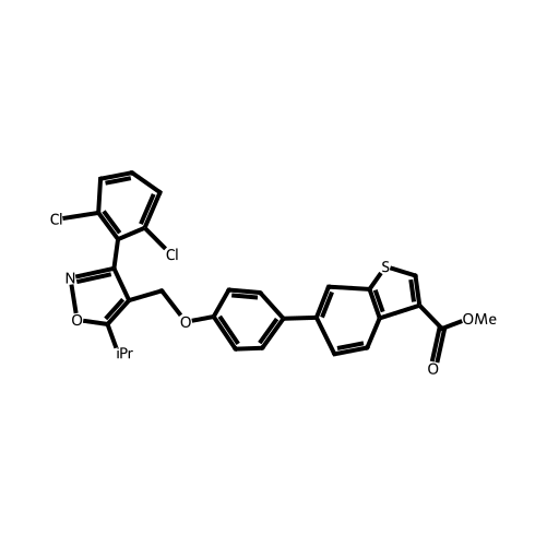 COC(=O)c1csc2cc(-c3ccc(OCc4c(-c5c(Cl)cccc5Cl)noc4C(C)C)cc3)ccc12